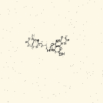 O=C(O)C[C@@H](NC(=O)CCCCc1ccc2c(n1)NCCC2)c1cnc2ccccc2c1